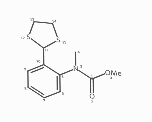 COC(=O)N(C)c1ccccc1C1SCCS1